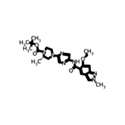 CCOc1cc2nn(C)cc2cc1C(=O)Nc1cnc(N2CCN(C(=O)OC(C)(C)C)[C@@H](C)C2)cn1